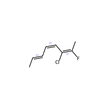 C/C=C/C=C\C(Cl)=C(/C)F